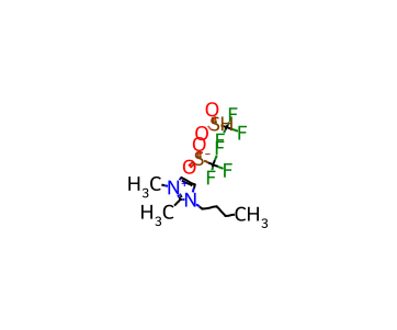 CCCCn1cc[n+](C)c1C.O=[S-](=O)C(F)(F)F.O=[SH](=O)C(F)(F)F